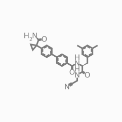 Cc1cc(C)cc(C[C@H](NC(=O)c2ccc(-c3ccc(C4(C(N)=O)CC4)cc3)cc2)C(=O)NCC#N)c1